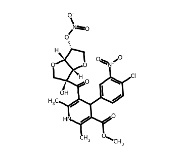 COC(=O)C1=C(C)NC(C)=C(C(=O)[C@]2(O)CO[C@@H]3[C@H](O[N+](=O)[O-])CO[C@@H]32)C1c1ccc(Cl)c([N+](=O)[O-])c1